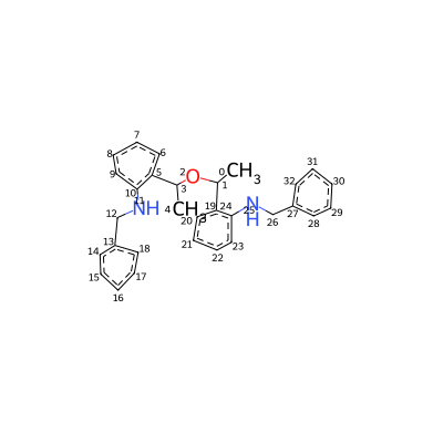 CC(OC(C)c1ccccc1NCc1ccccc1)c1ccccc1NCc1ccccc1